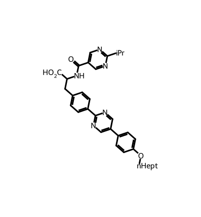 CCCCCCCOc1ccc(-c2cnc(-c3ccc(CC(NC(=O)c4cnc(C(C)C)nc4)C(=O)O)cc3)nc2)cc1